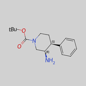 CC(C)(C)OC(=O)N1CC[C@@H](c2ccccc2)[C@@H](N)C1